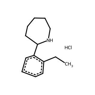 CCc1ccccc1C1CCCCCN1.Cl